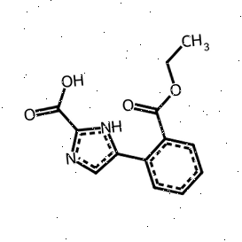 CCOC(=O)c1ccccc1-c1cnc(C(=O)O)[nH]1